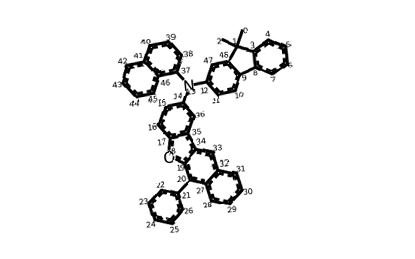 CC1(C)c2ccccc2-c2ccc(N(c3ccc4oc5c(-c6ccccc6)c6ccccc6cc5c4c3)c3cccc4ccccc34)cc21